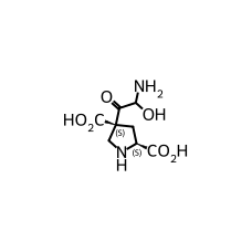 NC(O)C(=O)[C@@]1(C(=O)O)CN[C@H](C(=O)O)C1